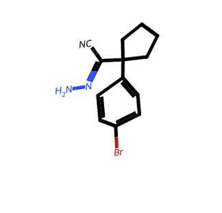 N#CC(=NN)C1(c2ccc(Br)cc2)CCCC1